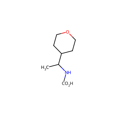 CC(NC(=O)O)C1CCOCC1